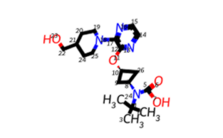 CC(C)(C)N(C(=O)O)[C@H]1C[C@H](Oc2nccnc2N2CCC(CO)CC2)C1